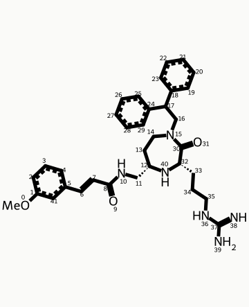 COc1cccc(/C=C/C(=O)NC[C@@H]2CCN(CC(c3ccccc3)c3ccccc3)C(=O)[C@H](CCCNC(=N)N)N2)c1